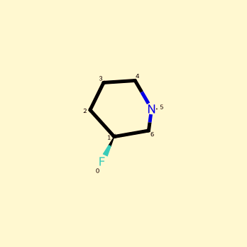 F[C@H]1CCC[N]C1